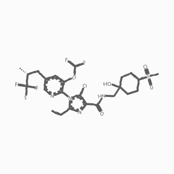 CCc1nc(C(=O)NCC2(O)CCC(S(C)(=O)=O)CC2)c(Cl)n1-c1ncc(C[C@@H](C)C(F)(F)F)cc1OC(F)F